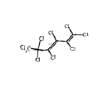 ClC(Cl)=C(Cl)/C(Cl)=C(\Cl)C(Cl)(Cl)C(Cl)(Cl)Cl